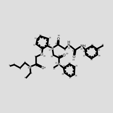 CCCCN(CC)C(=O)COc1ccccc1N(CC(=O)N(C)c1ccccc1)C(=O)CNC(=O)Nc1cccc(C)c1